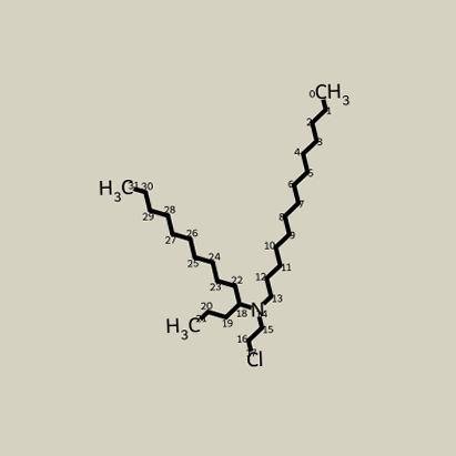 CCCCCCCCCCCCCCN(CCCl)C(CCC)CCCCCCCCCC